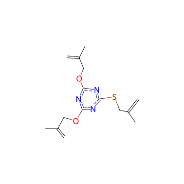 C=C(C)COc1nc(OCC(=C)C)nc(SCC(=C)C)n1